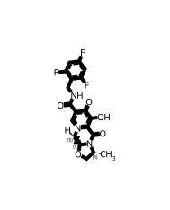 C[C@@H]1CO[C@@]23CCC[C@@H]2n2cc(C(=O)NCc4c(F)cc(F)cc4F)c(=O)c(O)c2C(=O)N13